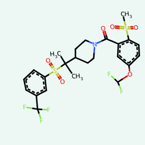 CC(C)(C1CCN(C(=O)c2cc(OC(F)F)ccc2S(C)(=O)=O)CC1)S(=O)(=O)c1cccc(C(F)(F)F)c1